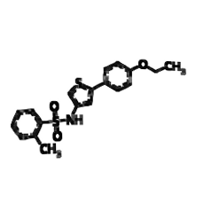 CCOc1ccc(-c2cc(NS(=O)(=O)c3ccccc3C)cs2)cc1